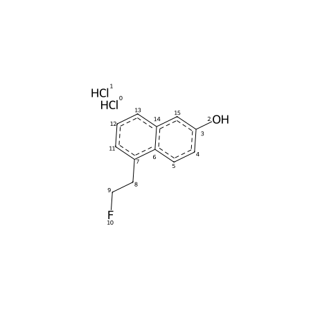 Cl.Cl.Oc1ccc2c(CCF)cccc2c1